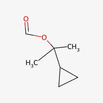 CC(C)(OC=O)C1CC1